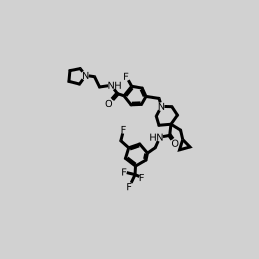 O=C(NCCN1CCCC1)c1ccc(CN2CCC(CC3CC3)(C(=O)NCc3cc(CF)cc(C(F)(F)F)c3)CC2)cc1F